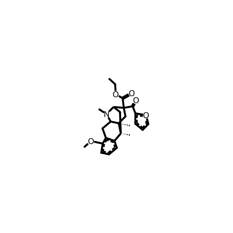 CCOC(=O)C1(C(=O)c2ccco2)C[C@]2(C)C3Cc4c(OC)cccc4[C@]2(C)CC1N3C